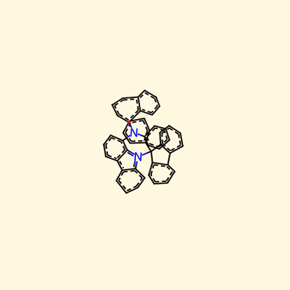 c1ccc(N(c2cccc3ccccc23)c2cccc3c4ccccc4n(C4(c5ccccc5)c5ccccc5-c5ccccc54)c23)cc1